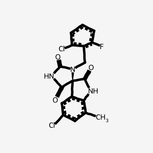 Cc1cc(Cl)cc2c1NC(=O)[C@@]21C(=O)NC(=O)N1Cc1c(F)cccc1Cl